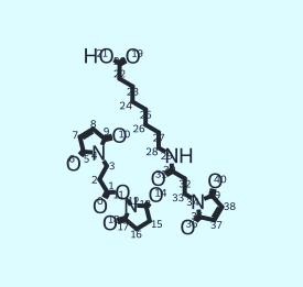 O=C(CCN1C(=O)C=CC1=O)ON1C(=O)CCC1=O.O=C(O)CCCCCCCNC(=O)CCN1C(=O)C=CC1=O